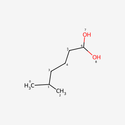 CC(C)CC[CH]C(O)O